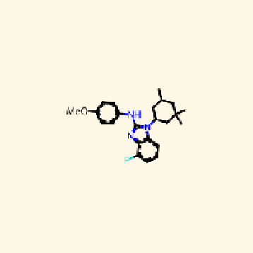 COc1ccc(Nc2nc3c(F)cccc3n2C2CC(C)CC(C)(C)C2)cc1